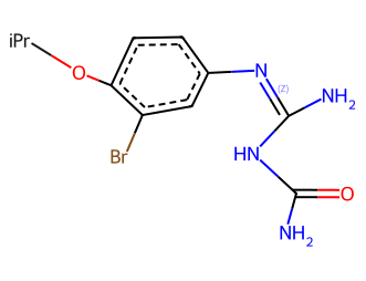 CC(C)Oc1ccc(/N=C(/N)NC(N)=O)cc1Br